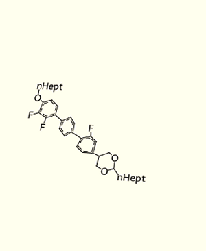 CCCCCCCOc1ccc(-c2ccc(-c3ccc(C4COC(CCCCCCC)OC4)cc3F)cc2)c(F)c1F